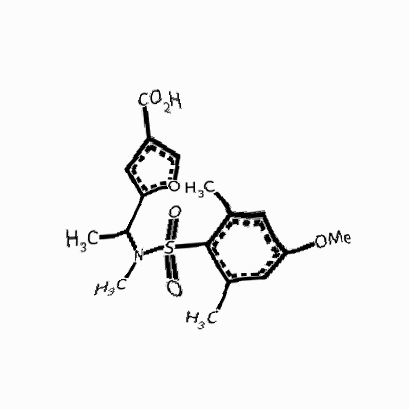 COc1cc(C)c(S(=O)(=O)N(C)C(C)c2cc(C(=O)O)co2)c(C)c1